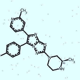 Cc1cc(-c2nc3sc(N4CCN[C@H](C)C4)nn3c2-c2ccc(F)cc2)ccn1